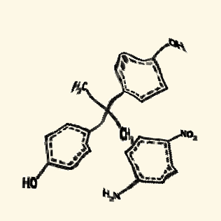 CC(C)(c1ccc(O)cc1)c1ccc(O)cc1.Nc1ccc([N+](=O)[O-])cc1